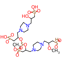 COC(CN1CCN(CC(CS(=O)(=O)OC)OSOC(CN2CCN(CC(O)CS(=O)(=O)O)CC2)CS(=O)(=O)O)CC1)C[SH](=O)=O